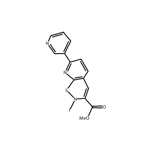 COC(=O)C1=Cc2ccc(-c3cccnc3)nc2SN1I